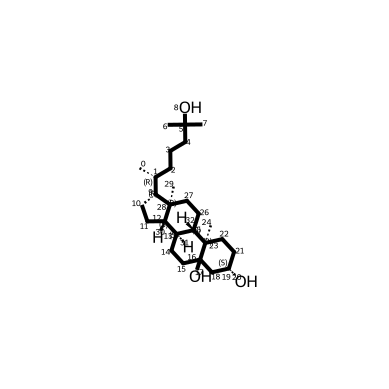 C[C@H](CCCC(C)(C)O)[C@H]1CC[C@H]2[C@@H]3CCC4(O)C[C@@H](O)CC[C@]4(C)[C@H]3CC[C@]12C